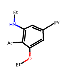 CCNc1cc(C(C)C)cc(OCC)c1C(C)=O